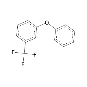 FC(F)(F)c1cccc(Oc2ccccc2)c1